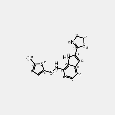 Clc1ccc(SNc2cccc3cc(C4=NCCS4)[nH]c23)s1